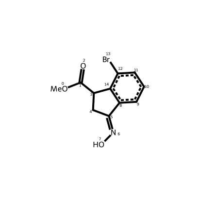 COC(=O)C1C/C(=N\O)c2cccc(Br)c21